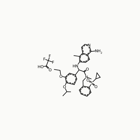 CCOc1cc(C(Nc2ccc3c(N)nccc3c2C)C(=O)N(C)Cc2ccccc2S(=O)(=O)C2CC2)ccc1OC(C)C.O=C(O)C(F)(F)F